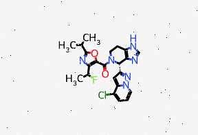 CC(C)c1nc(C(C)F)c(C(=O)N2CCc3[nH]cnc3[C@@H]2c2cc3c(Cl)cccn3n2)o1